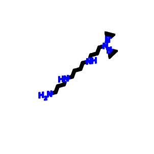 NCCCNCCCCNCCCN(N1CC1)N1CC1